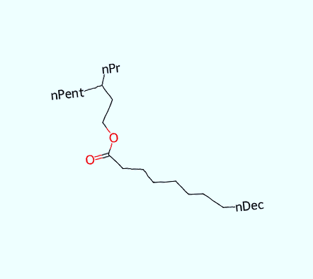 CCCCCCCCCCCCCCCCCC(=O)OCCC(CCC)CCCCC